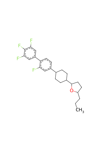 CCCC1CCC(C2CCC(c3ccc(-c4cc(F)c(F)c(F)c4)c(F)c3)CC2)O1